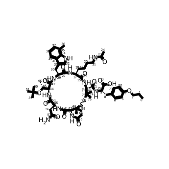 CCCOc1ccc(C[C@H](NC(=O)[C@H]2NC(=O)[C@H](CCCCNC(C)=O)NC(=O)[C@H](Cc3c[nH]c4c(C)cccc34)NC(=O)[C@H]([C@@H](C)OC(C)(C)C)NC(=O)[C@H](CC(N)=O)NC(=O)[C@@H](NC(C)=O)C(C)(C)SSC2(C)C)C(=O)O)cc1